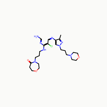 Cc1nn(CCCN2CCOCC2)cc1\N=C/C(Cl)=C(\N=C\N)NCCCN1CCOCCC1=O